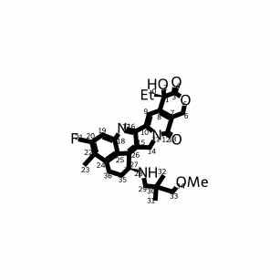 CC[C@@]1(O)C(=O)OCc2c1cc1n(c2=O)Cc2c-1nc1cc(F)c(C)c3c1c2[C@@H](NCC(C)(C)COC)CC3